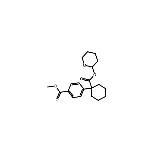 COC(=O)c1ccc(C2(C(=O)OC3CCCCO3)CCCCC2)cc1